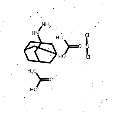 CC(=O)O.CC(=O)O.NNC12CC3CC(CC(C3)C1)C2.[Cl][Pt][Cl]